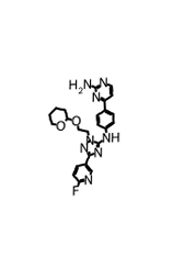 Nc1nccc(-c2ccc(Nc3nc(-c4ccc(F)nc4)nn3CCOC3CCCCO3)cc2)n1